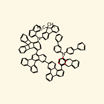 CC1(C)c2ccccc2-c2ccc(N(c3ccc(-c4cc5c6ccccc6c6ccccc6c5c5cc(-c6ccc7c(c6)c6ccccc6c6cccc(-c8ccc(N(c9ccc(-c%10ccccc%10)cc9)c9cccc(-c%10ccccc%10)c9)c9c8C8c%10ccccc%10C9c9ccccc98)c67)ccc45)c4c3C3c5ccccc5C35c3ccccc3C45)c3cccc4ccccc34)cc21